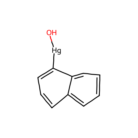 [OH][Hg][c]1cccc2ccccc12